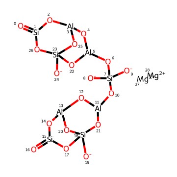 O=[Si]1[O][Al]2[O][Al]([O][Si]([O-])([O-])[O][Al]3[O][Al]4[O][Si](=O)O[Si]([O-])([O]4)[O]3)[O][Si]([O-])([O]2)O1.[Mg+2].[Mg+2]